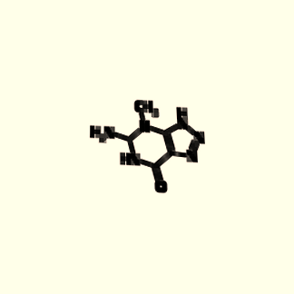 CN1c2[nH]nnc2C(=O)NC1N